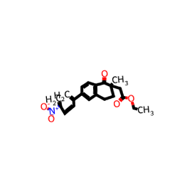 C=C(/C=C\C(=C)[N+](=O)[O-])c1ccc2c(c1)CCC(C)(CC(=O)OCC)C2=O